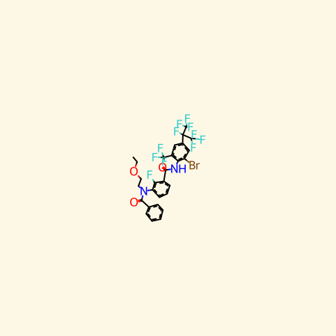 CCOCCN(C(=O)c1ccccc1)c1cccc(C(=O)Nc2c(Br)cc(C(F)(C(F)(F)F)C(F)(F)F)cc2C(F)(F)F)c1F